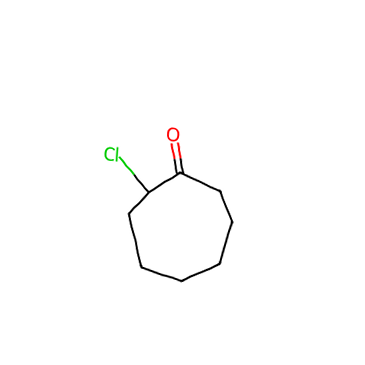 O=C1CCCCCCC1Cl